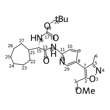 COCc1onc(C)c1-c1ccc(NC(=O)[C@@H](NC(=O)OC(C)(C)C)C2CCCCCC2)nc1